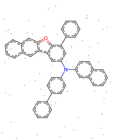 c1ccc(-c2ccc(N(c3ccc4ccccc4c3)c3cc(-c4ccccc4)c4oc5cc6ccccc6cc5c4c3)cc2)cc1